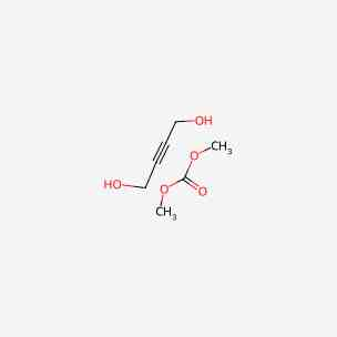 COC(=O)OC.OCC#CCO